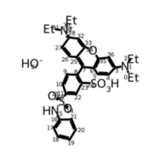 CCN(CC)c1ccc2c(-c3ccc(S(=O)(=O)Nc4ccccc4)cc3S(=O)(=O)O)c3ccc(=[N+](CC)CC)cc-3oc2c1.[OH-]